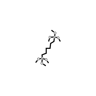 CO[Si](CCCCCC[Si](OC)(OC)OC)(OC)OC